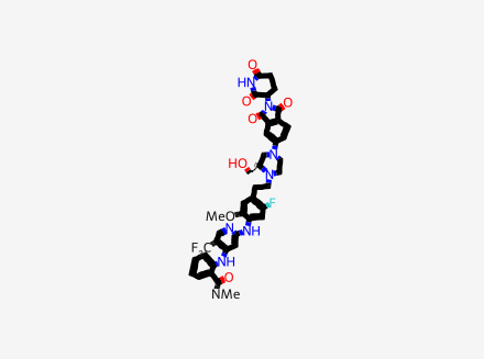 CNC(=O)c1ccccc1Nc1cc(Nc2cc(F)c(CCN3CCN(c4ccc5c(c4)C(=O)N(C4CCC(=O)NC4=O)C5=O)C[C@H]3CO)cc2OC)ncc1C(F)(F)F